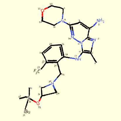 Cc1nc2c(N)cc(N3CCOCC3)nn2c1Nc1cccc(C(F)(F)F)c1CN1CC(O[Si](C)(C)C(C)(C)C)C1